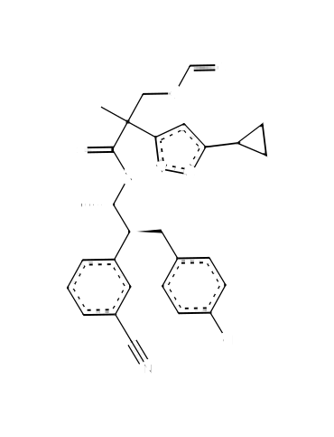 C[C@H](NC(=O)C(C)(COC=O)c1cc(C2CC2)on1)[C@@H](Cc1ccc(Cl)cc1)c1cccc(C#N)c1